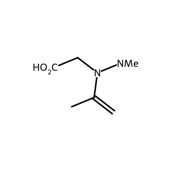 C=C(C)N(CC(=O)O)NC